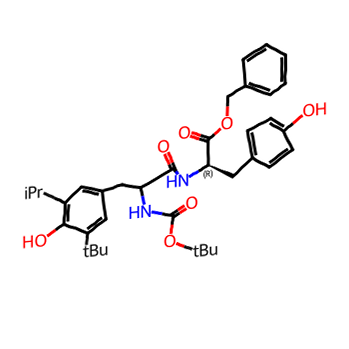 CC(C)c1cc(CC(NC(=O)OC(C)(C)C)C(=O)N[C@H](Cc2ccc(O)cc2)C(=O)OCc2ccccc2)cc(C(C)(C)C)c1O